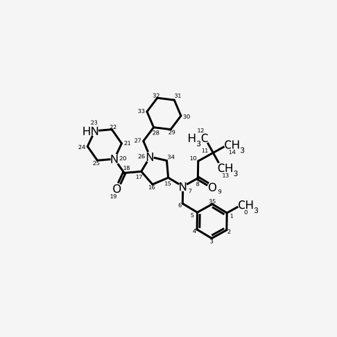 Cc1cccc(CN(C(=O)CC(C)(C)C)C2CC(C(=O)N3CCNCC3)N(CC3CCCCC3)C2)c1